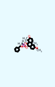 COc1ccc2c(c1)[C@]1(C)C=CC(=O)C(C)(C)C1=C(OP(C)(=O)OCc1ccccc1)C2=O